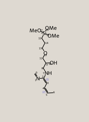 C=N/C(=C\C=C/C)NCC(O)COCCC[Si](OC)(OC)OC